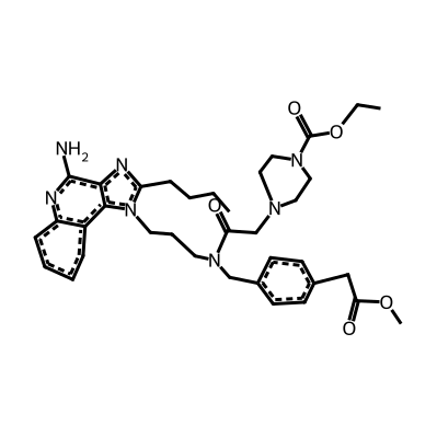 CCCCc1nc2c(N)nc3ccccc3c2n1CCCN(Cc1ccc(CC(=O)OC)cc1)C(=O)CN1CCN(C(=O)OCC)CC1